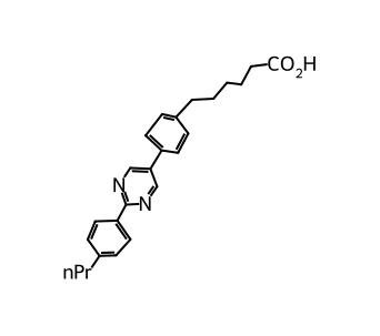 CCCc1ccc(-c2ncc(-c3ccc(CCCCCC(=O)O)cc3)cn2)cc1